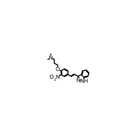 CN(C)CCCOc1ccc(C=Cc2n[nH]c3ccccc23)cc1[N+](=O)[O-]